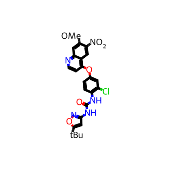 COc1cc2nccc(Oc3ccc(NC(=O)Nc4cc(C(C)(C)C)on4)c(Cl)c3)c2cc1[N+](=O)[O-]